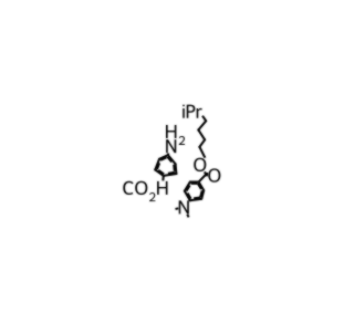 CC(C)CCCCCOC(=O)c1ccc(N(C)C)cc1.Nc1ccc(C(=O)O)cc1